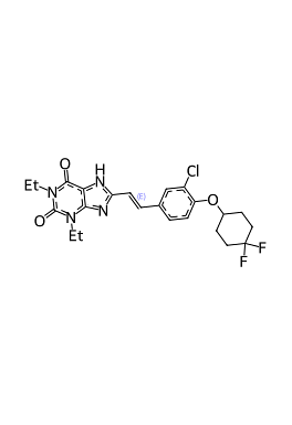 CCn1c(=O)c2[nH]c(/C=C/c3ccc(OC4CCC(F)(F)CC4)c(Cl)c3)nc2n(CC)c1=O